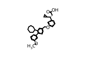 COc1cccc(-c2ccc(COc3cccc([C@@H](CC(=O)O)C4CC4)c3)cc2C2CCCCCC2)c1